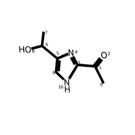 CC(=O)c1nc(C(C)O)c[nH]1